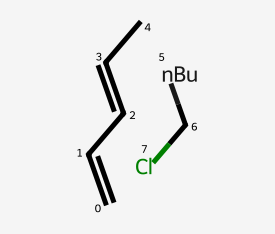 C=CC=CC.CCCCCCl